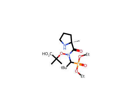 CCOP(=O)(OCC)C(N(OC(C)(C)C(=O)O)C(=O)[C@]1(C)CCCN1)C(C)(C)C